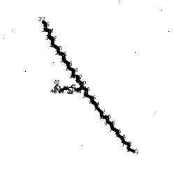 CCCCCCCCCCCCCCCCCCCC(CCCCCCCCCCCCCCCCCC)CSSCCN(C)C